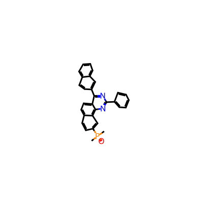 CP(C)(=O)c1ccc2ccc3c(-c4ccc5ccccc5c4)nc(-c4ccccc4)nc3c2c1